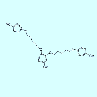 N#Cc1ccc(OCCCCCOc2ccc(C#N)cc2OCCCCCOc2ccc(C#N)cc2)cc1